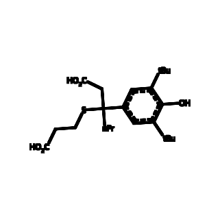 CCCC(CC(=O)O)(SCCC(=O)O)c1cc(C(C)(C)C)c(O)c(C(C)(C)C)c1